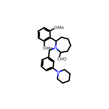 COc1cccc(OC)c1C1CCCCC(C=O)N1Cc1cccc(N2CCCCC2)c1